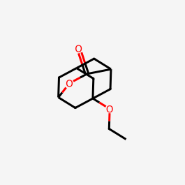 CCOC12CC3CC(C1)OC(=O)C(C3)C2